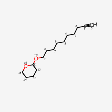 C#CCCCCCCCCOC1CCCCO1